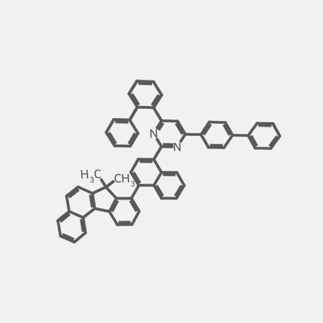 CC1(C)c2ccc3ccccc3c2-c2cccc(-c3ccc(-c4nc(-c5ccc(-c6ccccc6)cc5)cc(-c5ccccc5-c5ccccc5)n4)c4ccccc34)c21